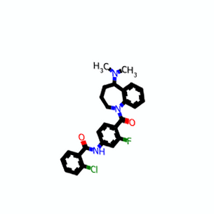 CN(C)C1CCCN(C(=O)c2ccc(NC(=O)c3ccccc3Cl)cc2F)c2ccccc21